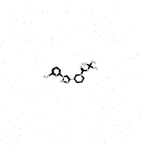 Cc1cccc(N2C=C([C@H]3CCCN(C(=O)OC(C)(C)C)C3)ON2)n1